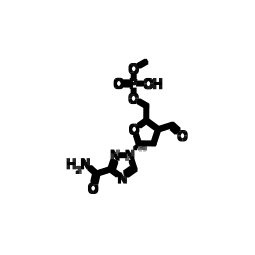 COP(=O)(O)OCC1O[C@@H](n2cnc(C(N)=O)n2)CC1C=O